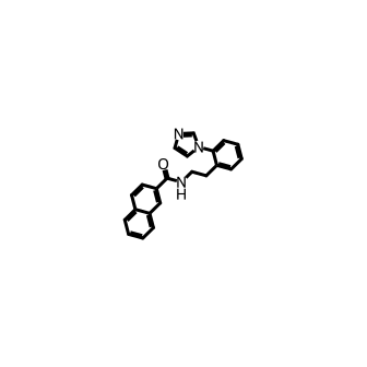 O=C(NCCc1ccccc1-n1ccnc1)c1ccc2ccccc2c1